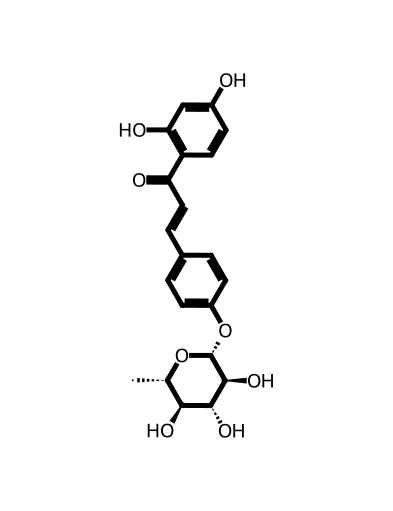 [CH2][C@@H]1O[C@H](Oc2ccc(/C=C/C(=O)c3ccc(O)cc3O)cc2)[C@@H](O)[C@H](O)[C@H]1O